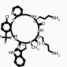 CN1C(=O)[C@H](COCCN)NC(=O)[C@H](CCCN)NCc2cccnc2Sc2c(Cl)ccc(C(F)(F)F)c2CNC(=O)[C@@H]1Cc1c[nH]c2ccccc12